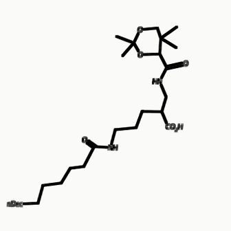 CCCCCCCCCCCCCCCC(=O)NCCCC(CNC(=O)C1OC(C)(C)OCC1(C)C)C(=O)O